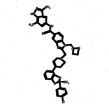 Cc1n[nH]c2c(C)cc(NC(=O)c3ccc4c(c3)nc(CN3CC=C(c5cccc6c5O[C@](C)(c5ccc(Cl)cn5)O6)CC3)n4C[C@@H]3CCO3)cc12